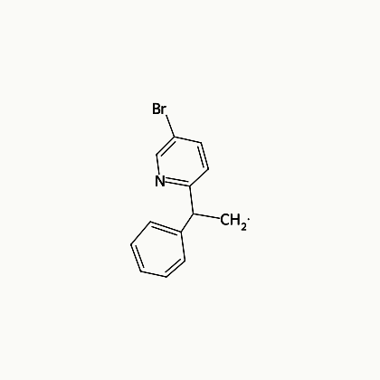 [CH2]C(c1ccccc1)c1ccc(Br)cn1